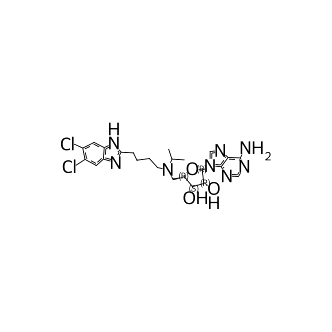 CC(C)N(CCCCc1nc2cc(Cl)c(Cl)cc2[nH]1)C[C@H]1O[C@@H](n2cnc3c(N)ncnc32)[C@H](O)[C@@H]1O